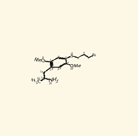 COc1cc(SCCCF)c(OC)cc1CC(C)N